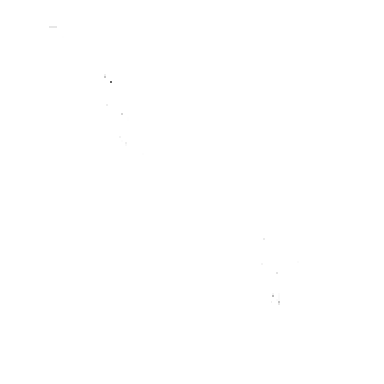 CCCN(C(=S)SSc1ccc(-c2ccc(SSC(=S)N(CCC)C3CCCCC3)cc2)cc1)C1CCCCC1